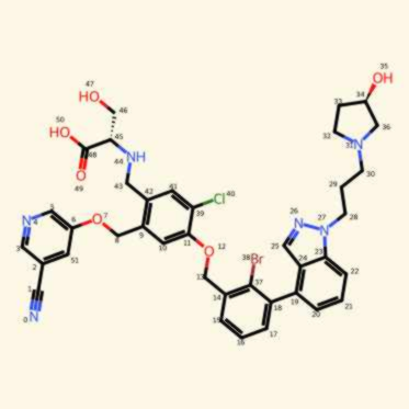 N#Cc1cncc(OCc2cc(OCc3cccc(-c4cccc5c4cnn5CCCN4CC[C@@H](O)C4)c3Br)c(Cl)cc2CN[C@@H](CO)C(=O)O)c1